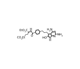 CCOC(=O)CC[C@@H](NC(=O)c1ccc(CCCc2c(O)[nH]c3nc(N)nc(N)c23)cc1)C(=O)OCC